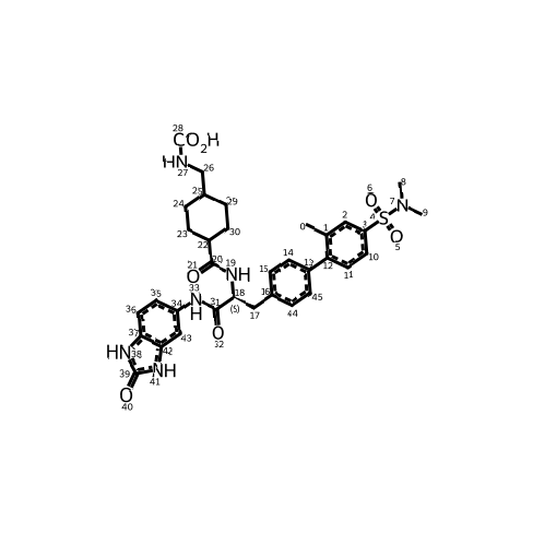 Cc1cc(S(=O)(=O)N(C)C)ccc1-c1ccc(C[C@H](NC(=O)C2CCC(CNC(=O)O)CC2)C(=O)Nc2ccc3[nH]c(=O)[nH]c3c2)cc1